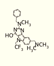 CN(C)Cc1ccc2c(c1)c1nc(N(C)Cc3ccccc3)nc(O)c1n2CC(F)(F)F